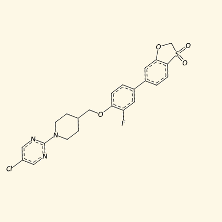 O=S1(=O)COc2cc(-c3ccc(OCC4CCN(c5ncc(Cl)cn5)CC4)c(F)c3)ccc21